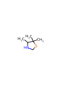 CC1NCSC1(C)C